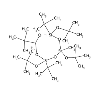 CC(C)(C)O[Si]1(C)O[Si](OC(C)(C)C)(C(C)(C)C)OC(C(C)(C)C)O[Si](OC(C)(C)C)(C(C)(C)C)O1